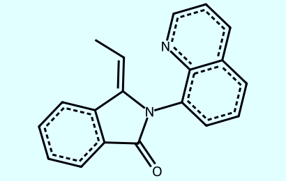 CC=C1c2ccccc2C(=O)N1c1cccc2cccnc12